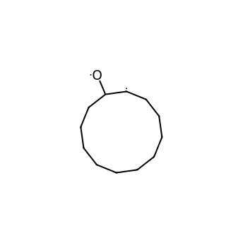 [O]C1[CH]CCCCCCCCCC1